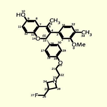 COc1cc(C2=C(C)c3cc(O)ccc3O[C@H]2c2ccc(OCCN3CC(CF)C3)cc2)ccc1C